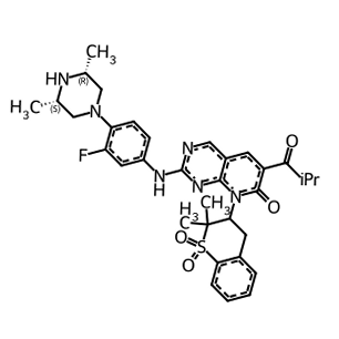 CC(C)C(=O)c1cc2cnc(Nc3ccc(N4C[C@@H](C)N[C@@H](C)C4)c(F)c3)nc2n(C2Cc3ccccc3S(=O)(=O)C2(C)C)c1=O